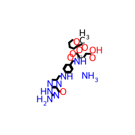 CC(=O)C1(OC(=O)[C@H](CCC(=O)O)NC(=O)c2ccc(NCc3cnc4[nH]c(N)nc(=O)c4n3)cc2)CCCCO1.N